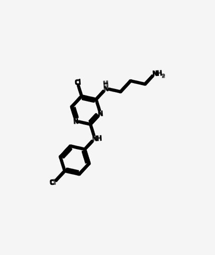 NCCCNc1nc(Nc2ccc(Cl)cc2)ncc1Cl